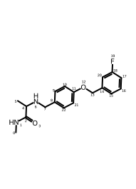 CNC(=O)C(C)NCc1ccc(OCc2cccc(F)c2)cc1